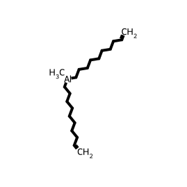 C=CCCCCCCC[CH2][Al]([CH3])[CH2]CCCCCCCC=C